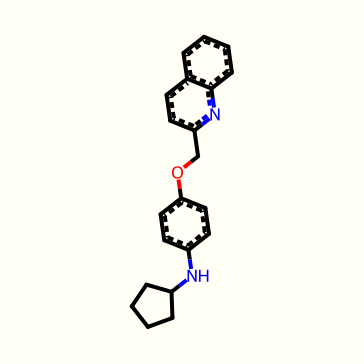 c1ccc2nc(COc3ccc(NC4CCCC4)cc3)ccc2c1